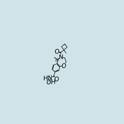 C[C@@H]1c2ccc(C(=O)NO)cc2OCCN1C(=O)C1(C)CCC1